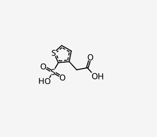 O=C(O)Cc1ccsc1S(=O)(=O)O